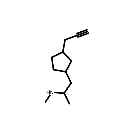 C#CCC1CCC(CC(C)NC)C1